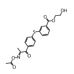 CC(=O)O/N=C(\C)C(=O)c1ccc(Sc2cccc(C(=O)OCCO)c2)cc1